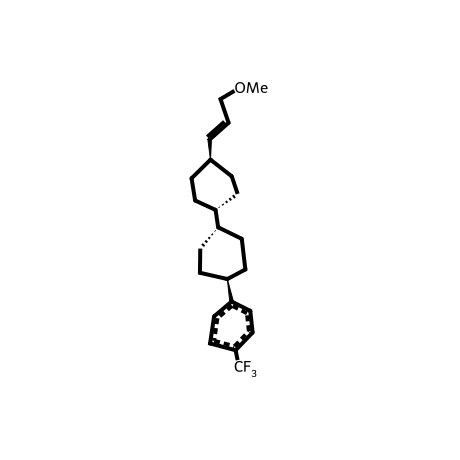 COCC=C[C@H]1CC[C@H]([C@H]2CC[C@H](c3ccc(C(F)(F)F)cc3)CC2)CC1